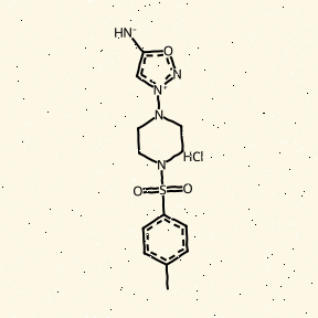 Cc1ccc(S(=O)(=O)N2CCN([n+]3cc([NH-])on3)CC2)cc1.Cl